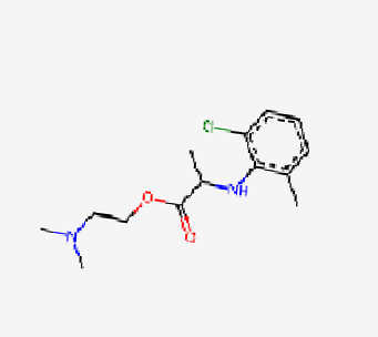 Cc1cccc(Cl)c1NC(C)C(=O)OCCN(C)C